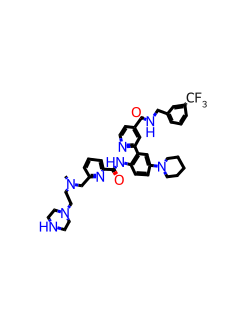 CN(CCN1CCNCC1)Cc1cccc(C(=O)Nc2ccc(N3CCCCC3)cc2-c2cc(C(=O)NCc3cccc(C(F)(F)F)c3)ccn2)n1